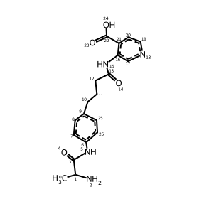 CC(N)C(=O)Nc1ccc(CCCC(=O)Nc2cnccc2C(=O)O)cc1